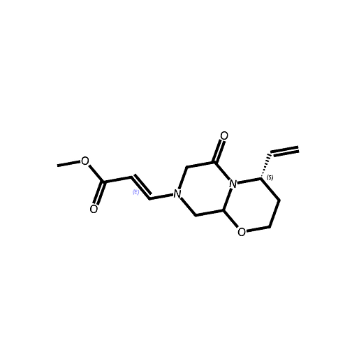 C=C[C@@H]1CCOC2CN(/C=C/C(=O)OC)CC(=O)N21